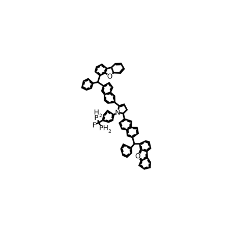 FC(P)(P)c1ccc(N2C(c3ccc4cc(C(c5ccccc5)c5cccc6c5OC5C=CC=CC65)ccc4c3)=CCC2c2ccc3cc(C(c4ccccc4)c4cccc5c4oc4ccccc45)ccc3c2)cc1